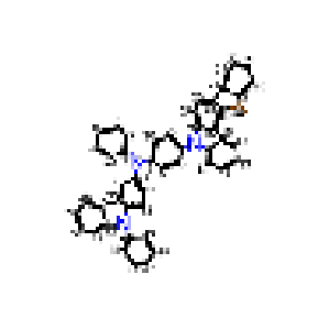 c1ccc(N(c2ccc(-n3c4ccccc4c4c5sc6ccccc6c5ccc43)cc2)c2ccc3c(c2)c2ccccc2n3-c2ccccc2)cc1